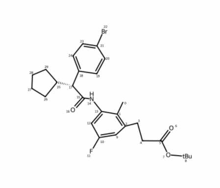 Cc1c(CCC(=O)OC(C)(C)C)cc(F)cc1NC(=O)[C@@H](c1ccc(Br)cc1)C1CCCC1